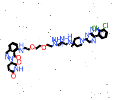 CC1(NC/C(N)=C/N(N)CCOCCOCCNc2cccc3cnn(C4CCC(=O)NC4=O)c(=O)c23)CCN(c2cnc(-c3cccc(Cl)c3Cl)c(N)n2)CC1